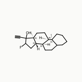 C#CC1(O)C(F)C[C@H]2[C@@H]3CCC4CCCC[C@]4(C)[C@@H]3CC[C@@]21C